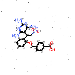 Nc1nc(N)c(C(C[N+](=O)[O-])c2ccccc2OCc2ccc(C(=O)O)cc2)c(N)n1